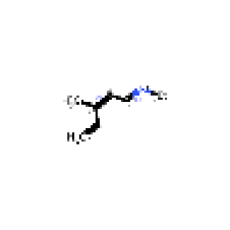 C=C/C(C)=C\C=N\CC